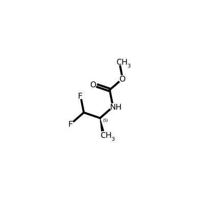 COC(=O)N[C@@H](C)C(F)F